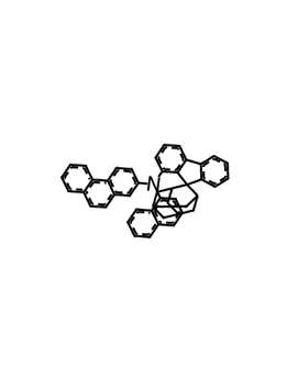 c1ccc2c(c1)-c1cccc(N(c3ccc4c(ccc5ccccc54)c3)c3cccc4ccccc34)c1C21C2CC3CC(C2)CC1C3